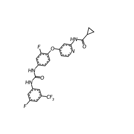 O=C(Nc1cc(F)cc(C(F)(F)F)c1)Nc1ccc(Oc2ccnc(NC(=O)C3CC3)c2)c(F)c1